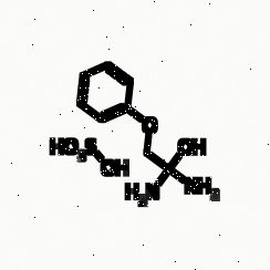 NC(N)(O)COc1ccccc1.O=S(=O)(O)O